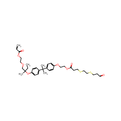 C=CC(=O)OCCOCC(C)(CC)Oc1ccc(C(C)(C)c2ccc(OCCOC(=O)CCSCCSCCC=O)cc2)cc1